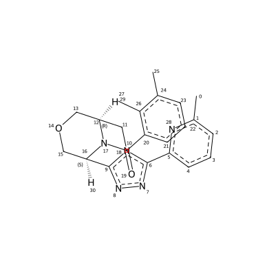 Cc1cccc(-c2nnc3n2C[C@@H]2COC[C@H]3N2C(=O)c2cccc(C)c2C)n1